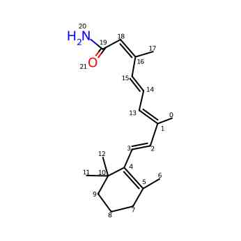 CC(C=CC1=C(C)CCCC1(C)C)=CC=C/C(C)=C\C(N)=O